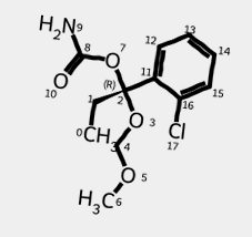 CC[C@@](OCOC)(OC(N)=O)c1ccccc1Cl